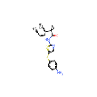 C#C/C=C\C(=C/C)C1(C(=O)Nc2ncc(Sc3ccc(N)cc3)s2)CC1